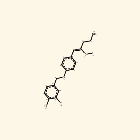 CCOC(=Cc1ccc(OCc2ccc(Cl)c(Cl)c2)cc1)CCN